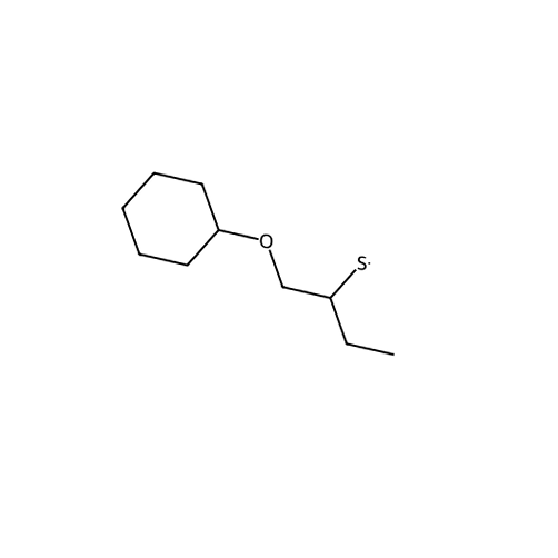 CCC([S])COC1CCCCC1